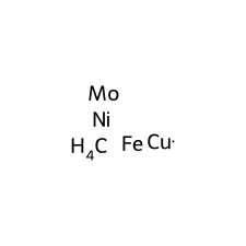 C.[Cu].[Fe].[Mo].[Ni]